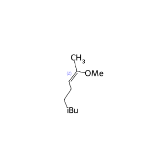 CCC(C)CC/C=C(/C)OC